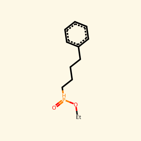 CCO[PH](=O)CCCCc1ccccc1